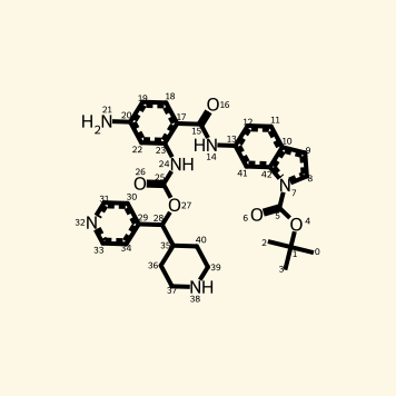 CC(C)(C)OC(=O)n1ccc2ccc(NC(=O)c3ccc(N)cc3NC(=O)OC(c3ccncc3)C3CCNCC3)cc21